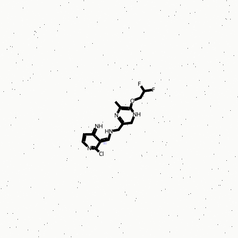 CC1=C(OCC(F)F)NCC(CN/C=C2\C(=N)C=CN=C2Cl)=N1